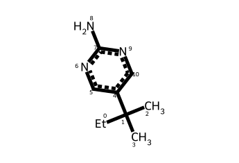 CCC(C)(C)c1cnc(N)nc1